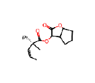 C/C=C\[C@](C)(C(=O)OC1C(=O)OC2CCCC21)C(C)C